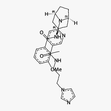 COc1cccc(C(=O)N[C@H]2C[C@H]3CC[C@@H](C2)N3c2ccc(C(=O)NCCCn3ccnc3)cn2)c1C